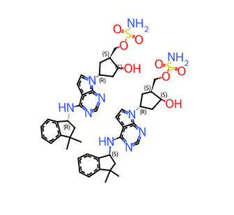 CC1(C)C[C@@H](Nc2ncnc3c2ccn3[C@@H]2C[C@@H](COS(N)(=O)=O)[C@@H](O)C2)c2ccccc21.CC1(C)C[C@H](Nc2ncnc3c2ccn3[C@@H]2C[C@@H](COS(N)(=O)=O)[C@@H](O)C2)c2ccccc21